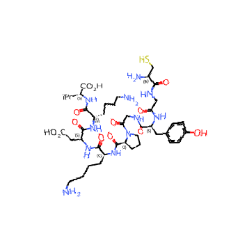 CC(C)[C@H](NC(=O)[C@H](CCCCN)NC(=O)[C@H](CC(=O)O)NC(=O)[C@H](CCCCN)NC(=O)[C@@H]1CCCN1C(=O)CNC(=O)[C@H](Cc1ccc(O)cc1)NC(=O)CNC(=O)[C@@H](N)CS)C(=O)O